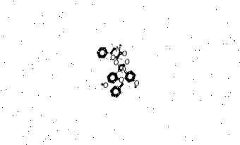 COc1ccc(N2C(=O)[C@@H](O[C@@]3(C)O[C@H](c4ccccc4)[C@H](C)N(C)C3=O)[C@H]2c2ccc(OC)cc2OCc2ccccc2)cc1